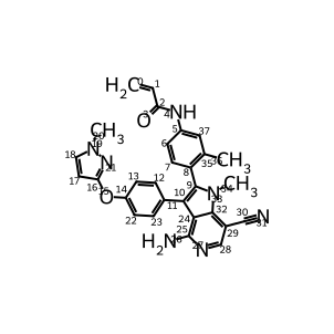 C=CC(=O)Nc1ccc(-c2c(-c3ccc(Oc4ccn(C)n4)cc3)c3c(N)ncc(C#N)c3n2C)c(C)c1